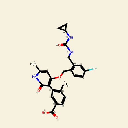 Cc1cc(OCc2ccc(F)cc2CNC(=O)NC2CC2)c(-c2cc(C(=O)O)ccc2C)c(=O)[nH]1